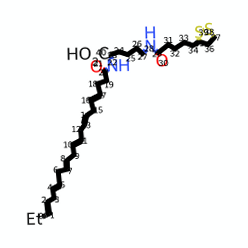 CCC=CCC=CCC=CCC=CCC=CCC=CCCC(=O)NC(CCCCNC(=O)CCCCC1CCSS1)C(=O)O